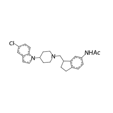 CC(=O)Nc1ccc2c(c1)C(CN1CCC(n3ccc4cc(Cl)ccc43)CC1)CC2